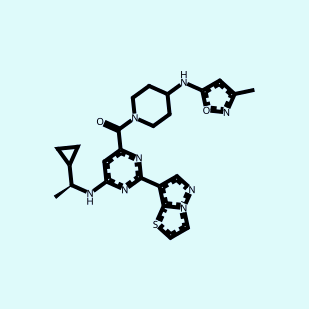 Cc1cc(NC2CCN(C(=O)c3cc(N[C@@H](C)C4CC4)nc(-c4cnn5ccsc45)n3)CC2)on1